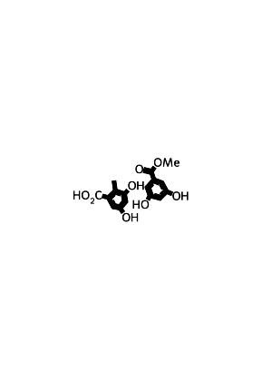 COC(=O)c1cc(O)cc(O)c1.Cc1c(O)cc(O)cc1C(=O)O